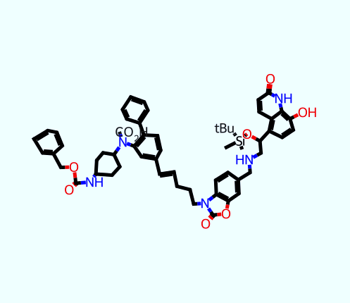 CC(C)(C)[Si](C)(C)OC(CNCc1ccc2c(c1)oc(=O)n2CCCC=Cc1ccc(-c2ccccc2)c(N(C(=O)O)C2CCC(NC(=O)OCc3ccccc3)CC2)c1)c1ccc(O)c2[nH]c(=O)ccc12